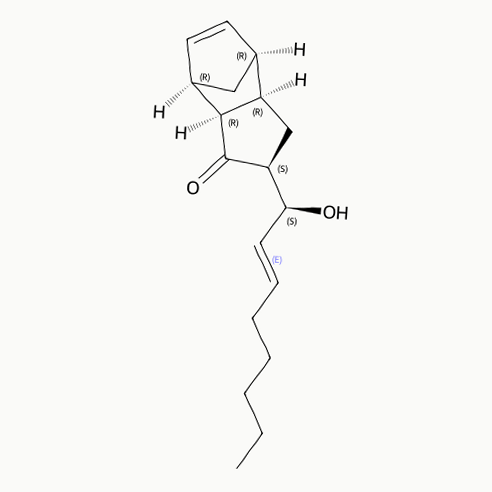 CCCCC/C=C/[C@H](O)[C@@H]1C[C@H]2[C@@H](C1=O)[C@H]1C=C[C@@H]2C1